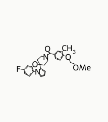 COCCOc1ccc(C(=O)N2CCC3(CC2)Oc2cc(F)ccc2-n2cccc23)cc1C